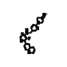 [O-][S+]1CCN(c2ccc(CNc3ncnc(-c4ccc5ncccc5c4)c3F)cn2)CC1